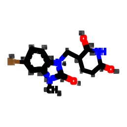 Cn1c(=O)n(CC2CCC(=O)NC2=O)c2ccc(Br)cc21